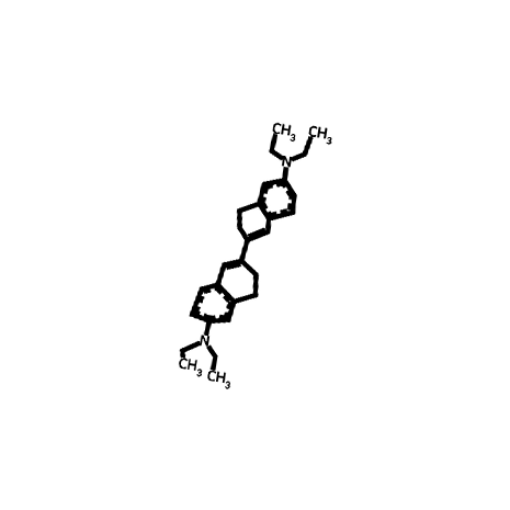 CCN(CC)c1ccc2c(c1)CCC(C1=Cc3ccc(N(CC)CC)cc3CC1)=C2